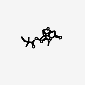 CCC(C)(C)C(=O)OCC1C2OC(=O)C3C2OC1C3C(=O)OC